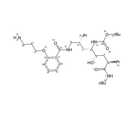 CCCCNC(=O)[C@@H](C[C@H](O)[C@H](C[C@H](CNC(=O)c1ccccc1OCCCN)C(C)C)NC(=O)OC(C)(C)C)C(C)C